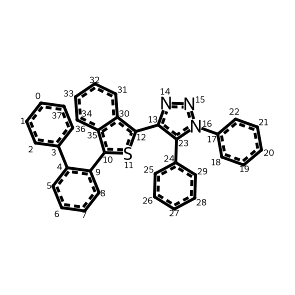 c1ccc(-c2ccccc2-c2sc(-c3nnn(-c4ccccc4)c3-c3ccccc3)c3ccccc23)cc1